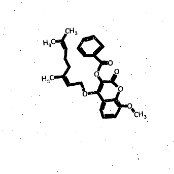 COc1cccc2c(OCC=C(C)CCC=C(C)C)c(OC(=O)c3ccccc3)c(=O)oc12